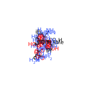 CC[C@H](C)[C@H](NC(=O)[C@@H]1CCCN1C(=O)[C@@H](NC(=O)CNC(=O)[C@H](CCC(N)=O)NC(=O)[C@H](Cc1ccccc1)NC(=O)[C@H](CC(N)=O)NC(=O)CN)[C@@H](C)O)C(=O)NCC(=O)N[C@H](C(=O)N[C@@H](CO)C(=O)N[C@@H](CCSC)C(=O)N[C@@H](CC(=O)O)C(=O)N[C@@H](CC(N)=O)C(=O)N[C@H](C(=O)N[C@@H](CCCNC(=N)N)C(=O)N[C@@H](CC(C)C)C(=O)N[C@@H](C)C(=O)N[C@@H](CC(C)C)C(=O)N[C@@H](C)C(=O)O)[C@@H](C)O)C(C)C